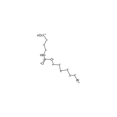 CCCCCCCCCCCNC(=O)OCCCCCCBr